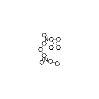 c1ccc(Cc2ccccc2-c2ccc(N(c3ccccc3)c3ccc(-c4cccc(-c5ccc6c(c5)c5ccccc5n6-c5ccc(-c6ccccc6)cc5)c4)cc3)cc2Cc2ccccc2)cc1